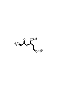 C=CC(=O)OC(CCC(=O)OCC)C(=O)O